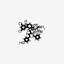 CC[C@H](C)[C@H](NC(=O)[C@@]1(NC(=O)C(C(F)Cc2ccc(O)cc2)N(Cc2ccccc2)C(=O)O)CCc2[nH]c3c(Cl)cc(Cl)cc3c2C1)C(N)=S